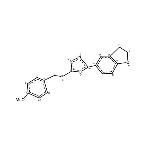 COc1ccc(CSc2nnc(-c3ccc4c(c3)CCO4)o2)cc1